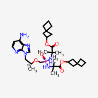 C[C@H](Cn1cnc2c(N)ccnc21)OCP(=O)(NC(C)(C)C(=O)OC1CC2(CCC2)C1)NC(C)(C)C(=O)OC1CC2(CCC2)C1